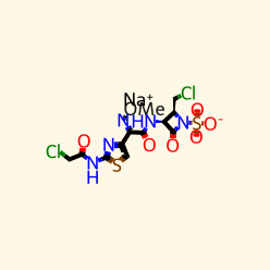 CON=C(C(=O)N[C@@H]1C(=O)N(S(=O)(=O)[O-])[C@@H]1CCl)c1csc(NC(=O)CCl)n1.[Na+]